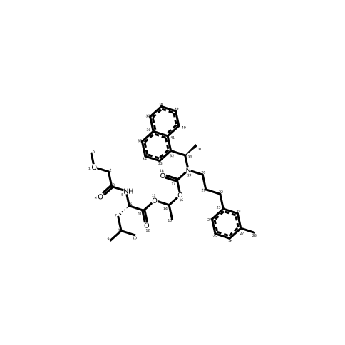 COCC(=O)N[C@@H](CC(C)C)C(=O)OC(C)OC(=O)N(CCCc1cccc(C)c1)[C@H](C)c1cccc2ccccc12